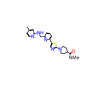 CNC(=O)C1CCN(c2ncc(-c3cccc(CNc4cc(C)ccn4)n3)s2)CC1